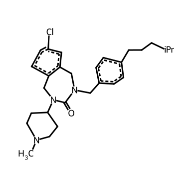 CC(C)CCCc1ccc(CN2Cc3cc(Cl)ccc3CN(C3CCN(C)CC3)C2=O)cc1